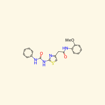 COc1ccccc1NC(=O)Cc1csc(NC(=O)Nc2ccccc2)n1